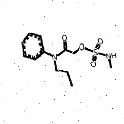 CCCN(C(=O)COS(=O)(=O)NC)c1ccccc1